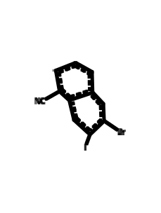 N#Cc1[c]ccc2cc(Br)c(I)cc12